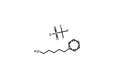 CCCCCC[n+]1ccccc1.O=S(=O)([O-])C(F)(F)F